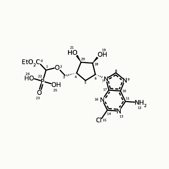 CCOC(=O)C(OC[C@H]1C[C@@H](n2cnc3c(N)nc(Cl)nc32)[C@H](O)[C@@H]1O)P(=O)(O)O